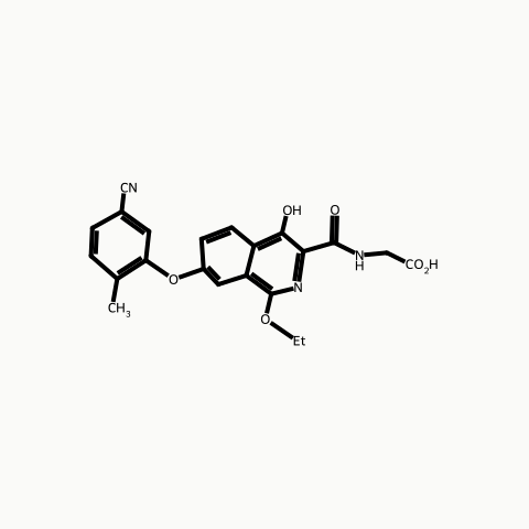 CCOc1nc(C(=O)NCC(=O)O)c(O)c2ccc(Oc3cc(C#N)ccc3C)cc12